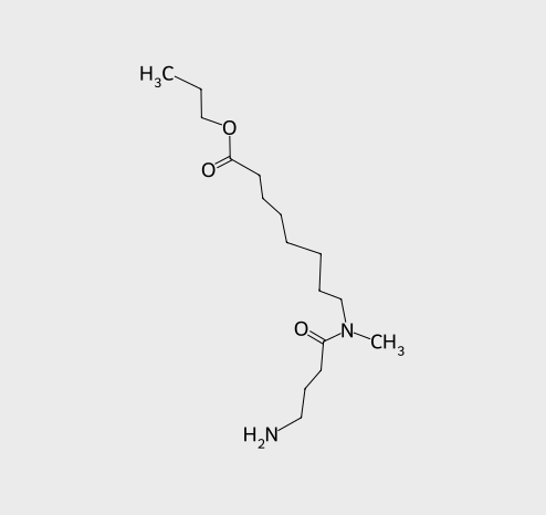 CCCOC(=O)CCCCCCCN(C)C(=O)CCCN